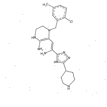 Cc1ccc(Cl)c(CN2CCNC(N)=C2/C=C(\N)c2nnc(C3CCNCC3)[nH]2)c1